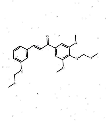 COCOc1cccc(/C=C/C(=O)c2cc(OC)c(OCOC)c(OC)c2)c1